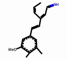 C\C=C/C(/C=C/c1cc(C)c(C)c(OC)c1)=C\C=N